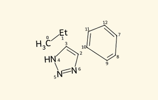 CCC.c1c[nH]nn1.c1ccccc1